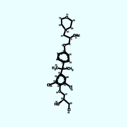 CC(=O)O[C@@H](COc1ccc(C(C)(C)c2cc(Cl)c(OC[C@H](O)CCl)c(Cl)c2)cc1)CN1CCOCC1